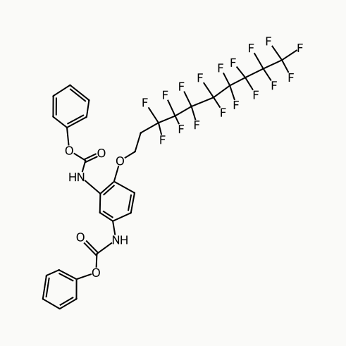 O=C(Nc1ccc(OCCC(F)(F)C(F)(F)C(F)(F)C(F)(F)C(F)(F)C(F)(F)C(F)(F)C(F)(F)F)c(NC(=O)Oc2ccccc2)c1)Oc1ccccc1